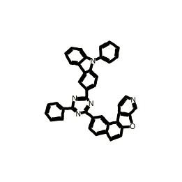 c1ccc(-c2nc(-c3ccc4ccc5oc6cnccc6c5c4c3)nc(-c3ccc4c(c3)c3ccccc3n4-c3ccccc3)n2)cc1